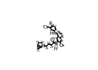 COc1cc2ncnc(Nc3ccc(F)c(Cl)c3)c2cc1NC(=O)/C=C/CN1CCC2CC21